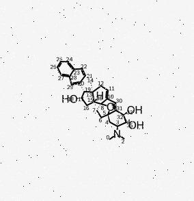 CN(C)[C@H]1C[C@@]23CC[C@@]4(O2)C(=CC[C@@]2(C)[C@H]4C[C@H](O)[C@@H]2c2ccc4ccccc4c2)C=C3[C@@H](O)[C@@H]1O